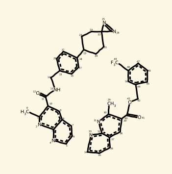 Cc1nc2ncccc2cc1C(=O)NCc1ccc(C2CCC3(CC2)N=N3)cc1.Cc1nc2ncccc2cc1C(=O)OCc1cccc(C(F)(F)F)c1